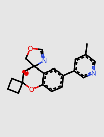 Cc1cncc(-c2ccc3c(c2)C2(COC=N2)C2(CCO2)C2(CCC2)O3)c1